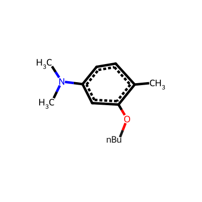 CCCCOc1cc(N(C)C)ccc1C